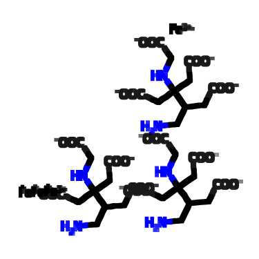 NCC(CC(=O)[O-])C(CC(=O)[O-])(CC(=O)[O-])NCC(=O)[O-].NCC(CC(=O)[O-])C(CC(=O)[O-])(CC(=O)[O-])NCC(=O)[O-].NCC(CC(=O)[O-])C(CC(=O)[O-])(CC(=O)[O-])NCC(=O)[O-].[Fe+3].[Fe+3].[Fe+3].[Fe+3]